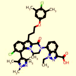 CCn1nc(C(=O)O)c2cccc(N3CC(C)n4c(c(CCCOc5cc(C)c(Cl)c(C)c5)c5ccc(Cl)c(-c6c(C)nn(C)c6C)c54)C3=O)c21